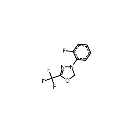 Fc1ccccc1N1COC(C(F)(F)F)=N1